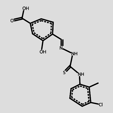 Cc1c(Cl)cccc1NC(=S)NN=Cc1ccc(C(=O)O)cc1O